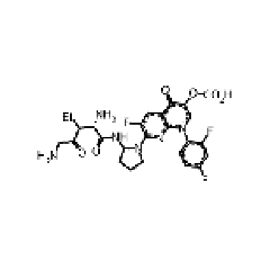 CCC(C(=O)CN)[C@H](N)C(=O)NC1CCCN1c1nc2c(cc1F)c(=O)c(OC(=O)O)cn2-c1ccc(F)cc1F